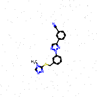 Cn1cnnc1SCc1cccc(-n2ncc(-c3cccc(C#N)c3)n2)c1